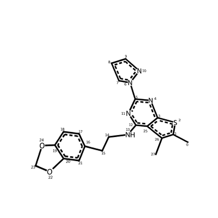 Cc1sc2nc(-n3cccn3)nc(NCCc3ccc4c(c3)OCO4)c2c1C